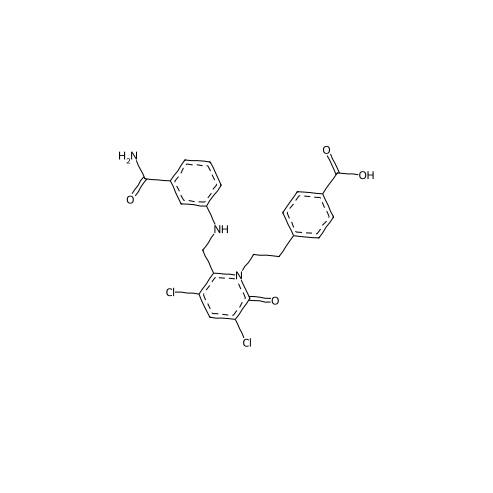 NC(=O)c1cccc(NCc2c(Cl)cc(Cl)c(=O)n2CCc2ccc(C(=O)O)cc2)c1